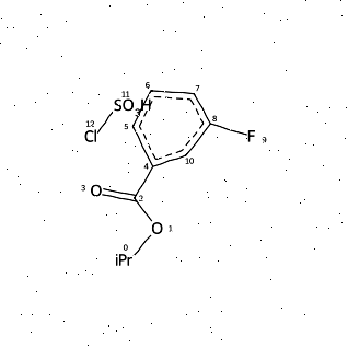 CC(C)OC(=O)c1cccc(F)c1.O=S(=O)(O)Cl